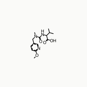 COc1ccc(CN(C)C(=O)NC(C(=O)O)C(C)C)cn1